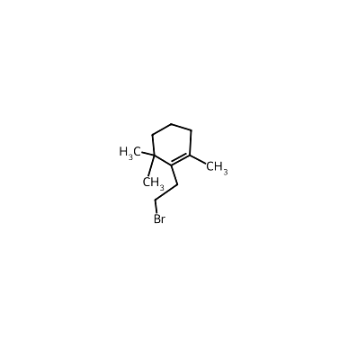 CC1=C(CCBr)C(C)(C)CCC1